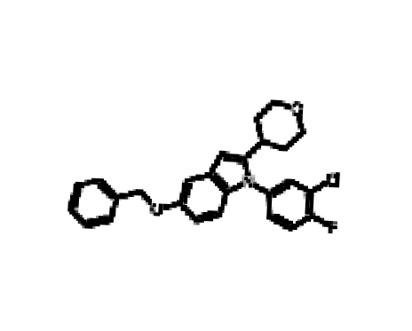 Fc1ccc(-n2c(C3CCOCC3)cc3cc(OCc4ccccc4)ccc32)cc1Cl